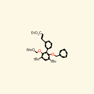 CCOC(=O)C=Cc1cccc(-c2c(OCOC)c(C(C)(C)C)cc(C(C)(C)C)c2OCc2ccccc2)c1